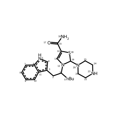 CCCCC(Cc1c[nH]c2ccccc12)N1C=C(C(N)=O)SC1N1CCNCC1